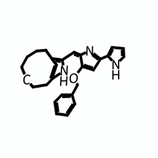 C(=C1N=C(c2ccc[nH]2)C=C1OCc1ccccc1)c1[nH]c2cc1CCCCCCC2